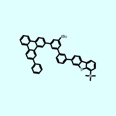 CC(C)(C)c1cc(-c2cccc(-c3ccc4c(c3)sc3c([Si](C)(C)C)cccc34)c2)cc(-c2ccc3c4ccccc4c4ccc(-c5ccccc5)cc4c3c2)c1